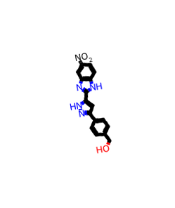 O=[N+]([O-])c1ccc2[nH]c(-c3cc(-c4ccc(CO)cc4)n[nH]3)nc2c1